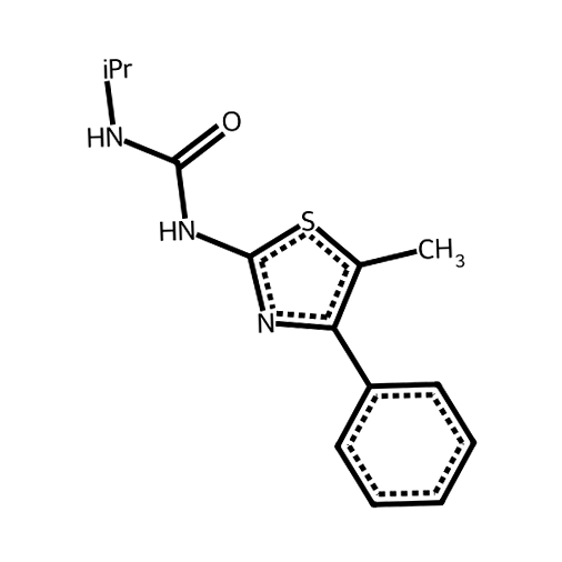 Cc1sc(NC(=O)NC(C)C)nc1-c1ccccc1